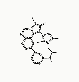 Cc1nn(C)cc1-n1c(=O)n(C)c2cnc3ccc(-c4ccnc(N(C)C(C)C)c4)cc3c21